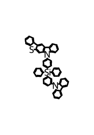 c1ccc([Si](c2ccccc2)(c2ccc(-n3c4ccccc4c4cc5c(cc43)sc3ccccc35)cc2)c2cccc(-n3c4ccccc4c4ccccc43)c2)cc1